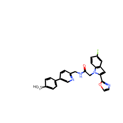 O=C(Cn1c(-c2ncco2)cc2cc(F)ccc21)NCc1ccc(-c2ccc(S(=O)(=O)O)cc2)cn1